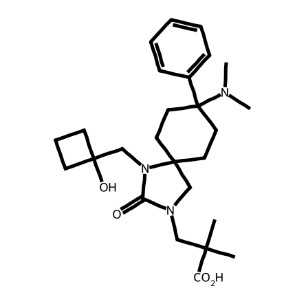 CN(C)C1(c2ccccc2)CCC2(CC1)CN(CC(C)(C)C(=O)O)C(=O)N2CC1(O)CCC1